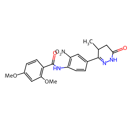 COc1ccc(C(=O)Nc2ccc(C3=NNC(=O)CC3C)cc2[N+](=O)[O-])c(OC)c1